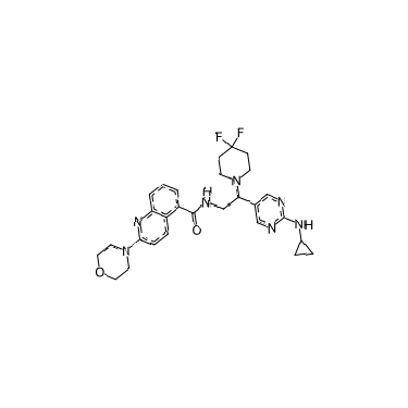 O=C(NCC(c1cnc(NC2CC2)nc1)N1CCC(F)(F)CC1)c1cccc2nc(N3CCOCC3)ccc12